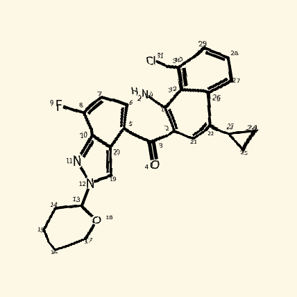 Nc1c(C(=O)c2ccc(F)c3nn(C4CCCCO4)cc23)cc(C2CC2)c2cccc(Cl)c12